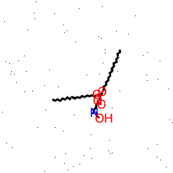 CCCCCCCCC=CCCCCCCCCOCC(COC(=O)CCCN(C)CCO)OCCCCCCCCC=CCCCCCCCC